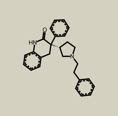 O=C1Nc2ccccc2CC1(c1ccccc1)[C@@H]1CCN(CCc2ccccc2)C1